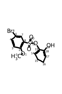 COc1ccc(Br)cc1S(=O)(=O)OC1=CCCC=C1O